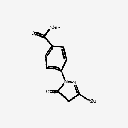 CNC(=O)c1ccc(N2N=C(C(C)(C)C)CC2=O)cc1